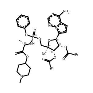 CC(C)C(=O)O[C@H]1[C@H](c2ccc3c(N)ncnn23)O[C@](C#N)(CO[P@](=O)(N[C@@H](C)C(=O)OC2CCN(C)CC2)Oc2ccccc2)[C@H]1OC(=O)C(C)C